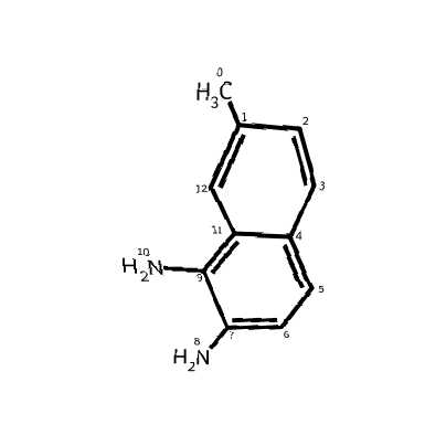 Cc1ccc2ccc(N)c(N)c2c1